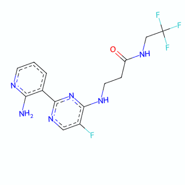 Nc1ncccc1-c1ncc(F)c(NCCC(=O)NCC(F)(F)F)n1